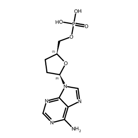 Nc1ncnc2c1ncn2[C@H]1CC[C@@H](COP(=O)(O)O)O1